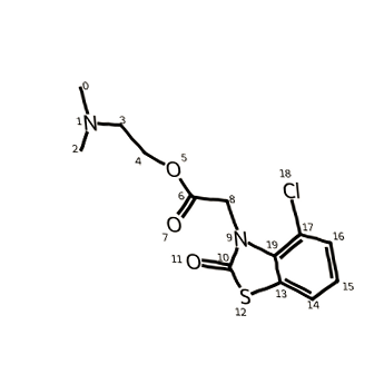 CN(C)CCOC(=O)Cn1c(=O)sc2cccc(Cl)c21